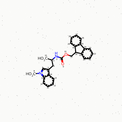 O=C(NC(Cc1cn(C(=O)O)c2ccccc12)C(=O)O)OCC1c2ccccc2-c2ccccc21